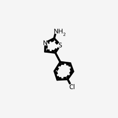 Nc1ncc(-c2ccc(Cl)cc2)s1